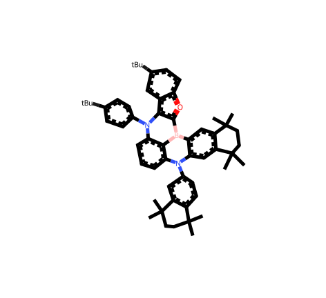 CC(C)(C)c1ccc(N2c3cccc4c3B(c3cc5c(cc3N4c3ccc4c(c3)C(C)(C)CCC4(C)C)C(C)(C)CCC5(C)C)c3oc4ccc(C(C)(C)C)cc4c32)cc1